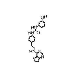 O=C(Nc1ccc(CCNc2ncnc3ccsc23)cc1)Nc1cccc(O)c1